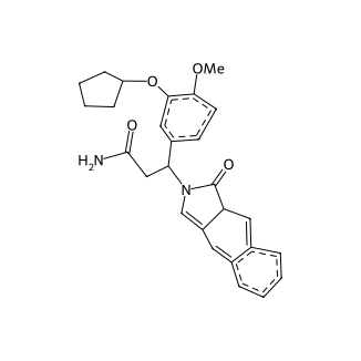 COc1ccc(C(CC(N)=O)N2C=C3C=c4ccccc4=CC3C2=O)cc1OC1CCCC1